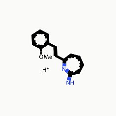 COc1ccccc1C=Cc1ccccc(=N)n1.[H+]